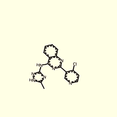 Cc1nc(Nc2nc(-c3cnccc3Cl)nc3ccccc23)n[nH]1